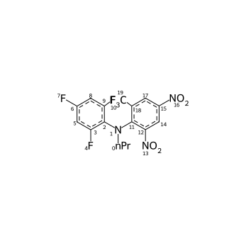 CCCN(c1c(F)cc(F)cc1F)c1c([N+](=O)[O-])cc([N+](=O)[O-])cc1C(F)(F)F